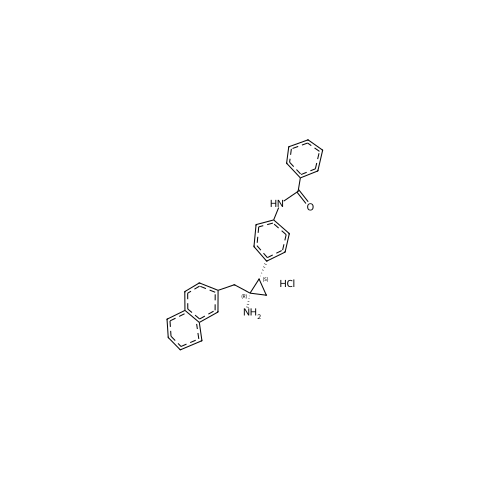 Cl.N[C@@]1(Cc2ccc3ccccc3c2)C[C@H]1c1ccc(NC(=O)c2ccccc2)cc1